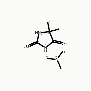 CC1(C)NC(=O)NC1=O.CN(C)C